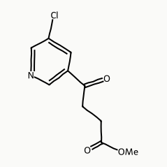 COC(=O)CCC(=O)c1cncc(Cl)c1